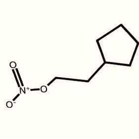 O=[N+]([O-])OCCC1C[CH]CC1